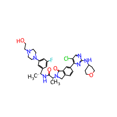 C[C@H](C(=O)N[C@H](C)c1cc(F)cc(N2CCN(CCO)CC2)c1)N1Cc2ccc(-c3nc(NC4CCOCC4)ncc3Cl)cc2C1=O